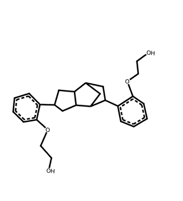 OCCOc1ccccc1C1CC2C3CC(c4ccccc4OCCO)C(C3)C2C1